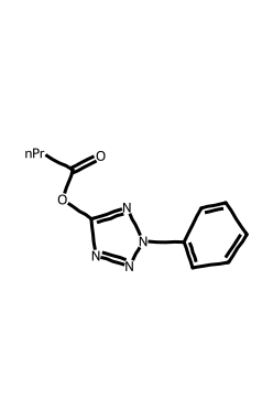 CCCC(=O)Oc1nnn(-c2ccccc2)n1